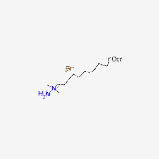 CCCCCCCCCCCCCCCC[N+](C)(C)N.[Br-]